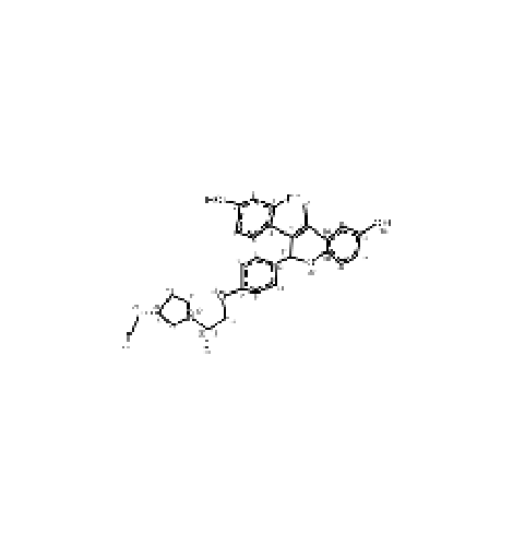 CC1=C(c2ccc(O)cc2F)C(c2ccc(OC[C@H](C)N3CC[C@@H](CF)C3)cc2)Oc2ccc(O)cc21